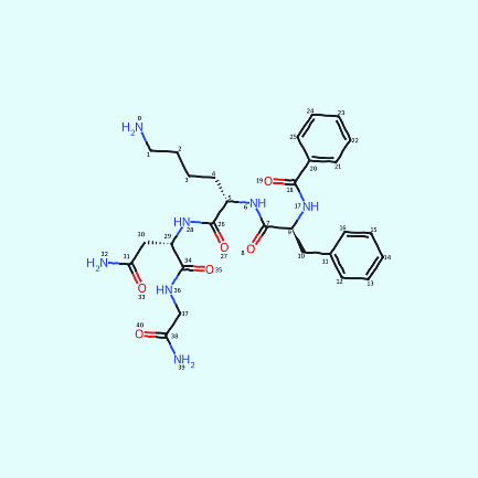 NCCCC[C@H](NC(=O)[C@H](Cc1ccccc1)NC(=O)c1ccccc1)C(=O)N[C@@H](CC(N)=O)C(=O)NCC(N)=O